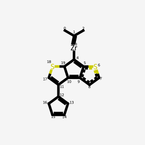 C[C](C)=[Zr][C]1=c2sccc2=C2C(C3=CC=CC3)=CSC21